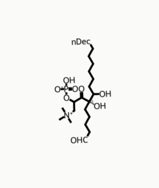 CCCCCCCCCCCCCCCCC(O)[C@@](O)(CCCCC=O)C(=O)C(C[N+](C)(C)C)OP(=O)([O-])O